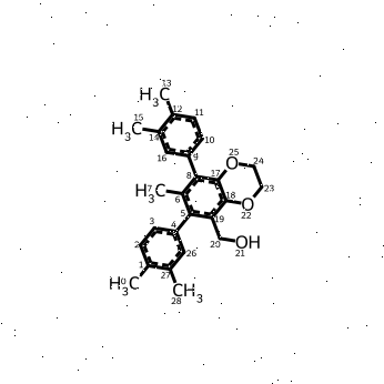 Cc1ccc(-c2c(C)c(-c3ccc(C)c(C)c3)c3c(c2CO)OCCO3)cc1C